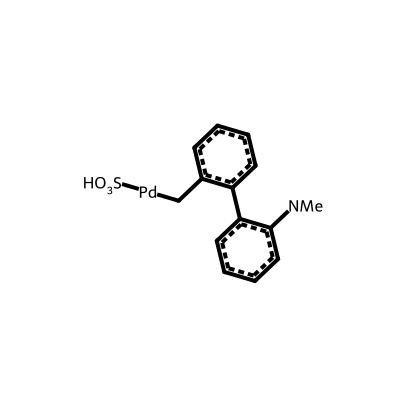 CNc1ccccc1-c1ccccc1[CH2][Pd][S](=O)(=O)O